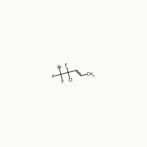 CC=CC(F)(Cl)C(F)(F)Br